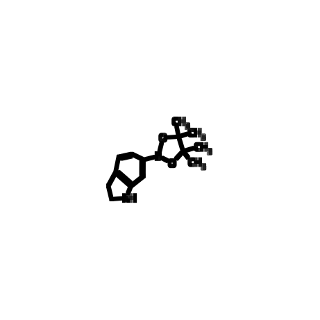 CC1(C)OB(c2ccc3c(c2)NCC3)OC1(C)C